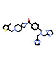 Cc1ccsc1CN1CCC2(CC1)CN(C(=O)c1ccc(CN(CC3=NCCN3)Cc3ncc[nH]3)cc1)C2